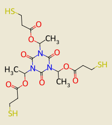 CC(OC(=O)CCS)n1c(=O)n(C(C)OC(=O)CCS)c(=O)n(C(C)OC(=O)CCS)c1=O